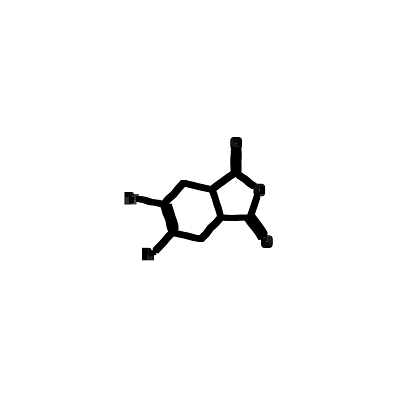 O=C1OC(=O)C2CC(Br)=C(Br)CC12